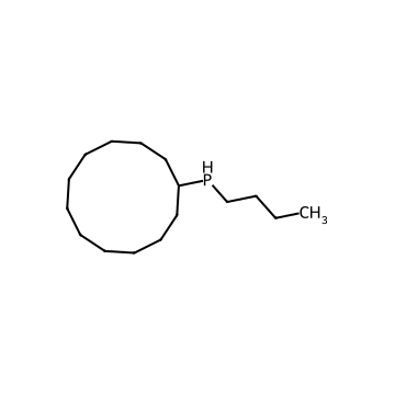 CCCCPC1CCCCCCCCCCC1